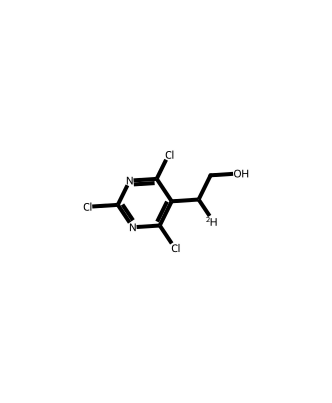 [2H]C(CO)c1c(Cl)nc(Cl)nc1Cl